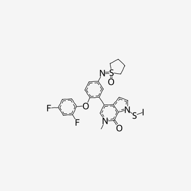 Cn1cc(-c2cc(N=S3(=O)CCCC3)ccc2Oc2ccc(F)cc2F)c2ccn(SI)c2c1=O